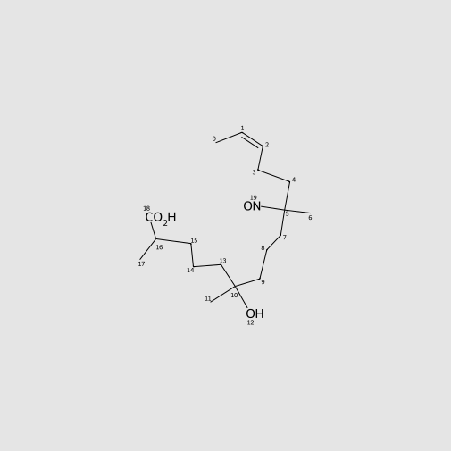 C/C=C\CCC(C)(CCCC(C)(O)CCCC(C)C(=O)O)N=O